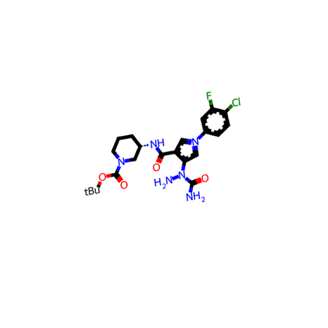 CC(C)(C)OC(=O)N1CCC[C@H](NC(=O)c2cn(-c3ccc(Cl)c(F)c3)cc2N(N)C(N)=O)C1